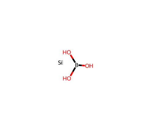 OB(O)O.[Si]